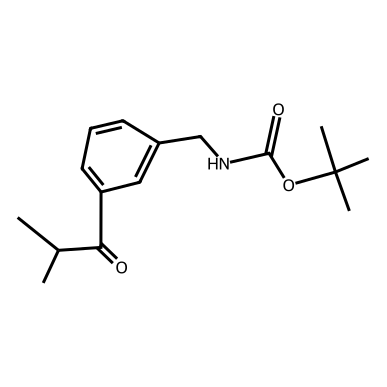 CC(C)C(=O)c1cccc(CNC(=O)OC(C)(C)C)c1